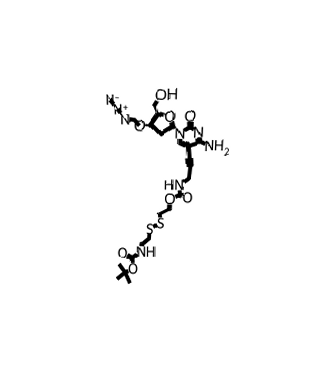 CC(C)(C)OC(=O)NCCSSCCOC(=O)NCC#Cc1cn([C@H]2C[C@@H](OCN=[N+]=[N-])[C@@H](CO)O2)c(=O)nc1N